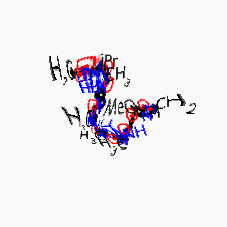 C=CCOC(=O)N[C@H](C(=O)N[C@@H](C)C(=O)Nc1ccc2c(ccn2C(=O)c2cc(NC(=O)c3cc(NC(=O)c4nc(NC(=O)CCCOc5cc6c(cc5OC)C(=O)N5CC(=C)C[C@H]5C=N6)cn4C)cn3C)cn2C)c1)C(C)C